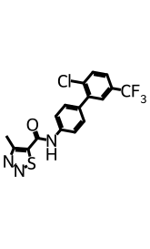 Cc1nnsc1C(=O)Nc1ccc(-c2cc(C(F)(F)F)ccc2Cl)cc1